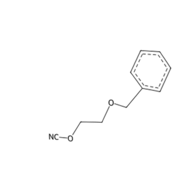 N#COCCOCc1ccccc1